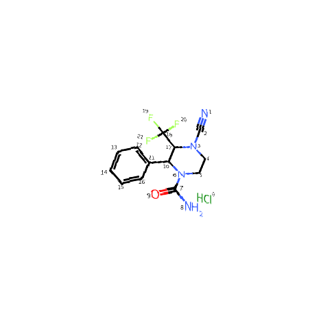 Cl.N#CN1CCN(C(N)=O)C(c2ccccc2)C1C(F)(F)F